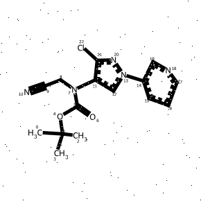 CC(C)(C)OC(=O)N(CC#N)c1cn(-c2cccnc2)nc1Cl